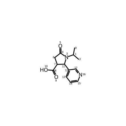 CC(C)N1C(=O)CC(C(=O)O)C1c1cccnc1